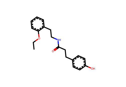 CCOc1ccccc1CCNC(=O)CCc1ccc(O)cc1